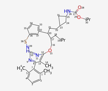 Cc1cccc(C)c1-c1nc2nc(c1C)OCC(CC(C)C)C(CCC1CC(NC(=O)OC(C)C)C1)c1cccc(c1)SN2